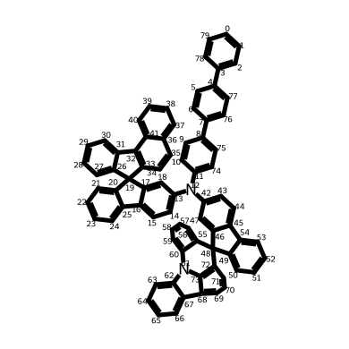 c1ccc(-c2ccc(-c3ccc(N(c4ccc5c(c4)C4(c6ccccc6-5)c5ccccc5-c5c4ccc4ccccc54)c4ccc5c(c4)C4(c6ccccc6-5)c5ccccc5-n5c6ccccc6c6cccc4c65)cc3)cc2)cc1